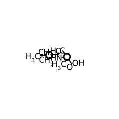 Cc1ccc(C(=O)O)c(C)c1NC(=O)c1ccc(C(C)(C)C)cc1